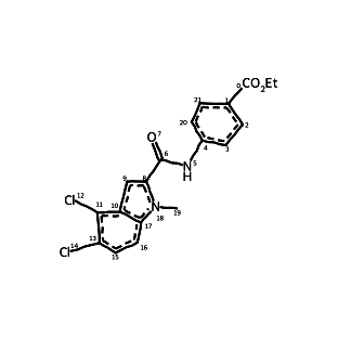 CCOC(=O)c1ccc(NC(=O)c2cc3c(Cl)c(Cl)ccc3n2C)cc1